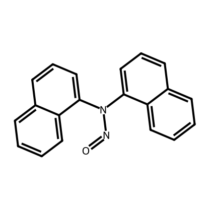 O=NN(c1cccc2ccccc12)c1cccc2ccccc12